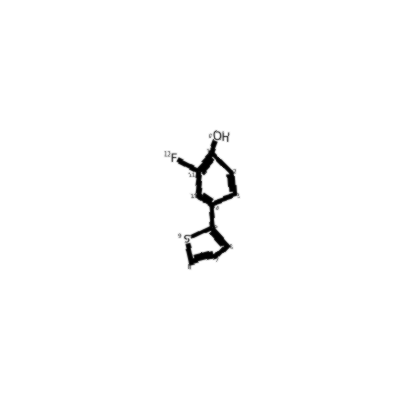 Oc1ccc(-c2cccs2)cc1F